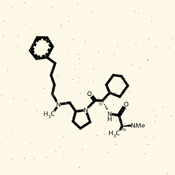 CN[C@@H](C)C(=O)N[C@H](C(=O)N1CCCC1CN(C)CCCCc1ccccc1)C1CCCCC1